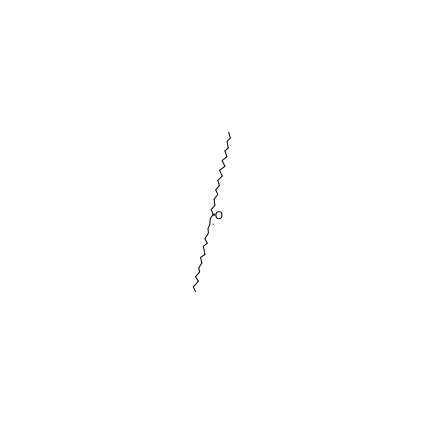 CCCCCCCCCCCCCC[CH]CC(=O)CCCCCCCCCCCCCCCCC